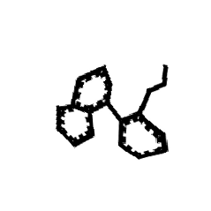 CCCc1ccccc1-c1cccc2ccccc12